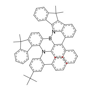 CC(C)(C)c1ccc(N2c3cc4ccccc4c4c3B(c3ccc5c(c32)-c2ccccc2C5(C)C)n2c3c(c5cccc-4c52)C(C)(C)c2ccccc2-3)c(-c2ccccc2)c1